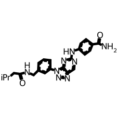 CC(C)CC(=O)NCc1cccc(-n2nnc3cnc(Nc4ccc(C(N)=O)cc4)nc32)c1